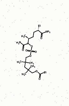 CCC(=O)OCC(C)(C)CC(C)(C)COS(=O)(=O)ON(C(N)=O)[C@@H](C)CC[C@H](CC)C(N)=O